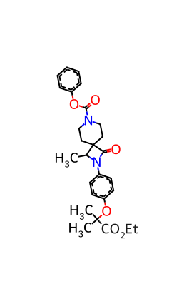 CCOC(=O)C(C)(C)Oc1ccc(N2C(=O)C3(CCN(C(=O)Oc4ccccc4)CC3)C2C)cc1